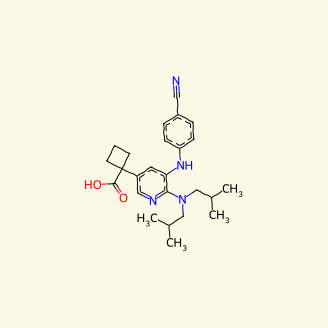 CC(C)CN(CC(C)C)c1ncc(C2(C(=O)O)CCC2)cc1Nc1ccc(C#N)cc1